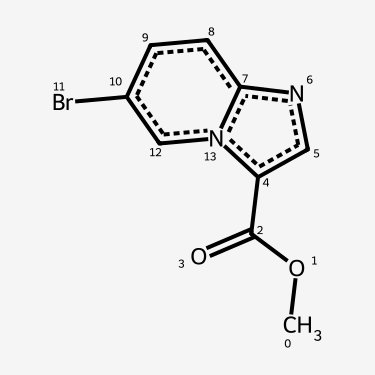 COC(=O)c1cnc2ccc(Br)cn12